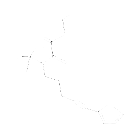 CCOC(=O)C(=O)N(CCCC#Cc1cccs1)C(C)(C)C